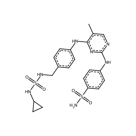 Cc1cnc(Nc2ccc(S(N)(=O)=O)cc2)nc1Nc1ccc(CNS(=O)(=O)NC2CC2)cc1